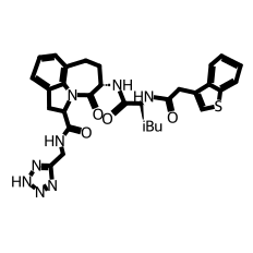 CC[C@H](C)[C@H](NC(=O)Cc1csc2ccccc12)C(=O)N[C@H]1CCc2cccc3c2N(C1=O)C(C(=O)NCc1nn[nH]n1)C3